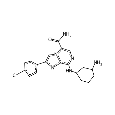 NC(=O)c1cnc(NC2CCCC(N)C2)c2nc(-c3ccc(Cl)cc3)cn12